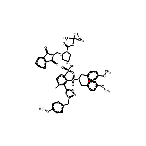 COc1ccc(CN(Cc2ccc(OC)cc2)S(=O)(=O)c2c(S(=O)(=O)N[C@@H]3C[C@@H](CN4C(=O)c5ccccc5C4=O)N(C(=O)OC(C)(C)C)C3)ccc(I)c2-c2nnn(Cc3ccc(OC)cc3)n2)cc1